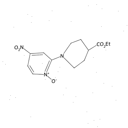 CCOC(=O)C1CCN(c2cc([N+](=O)[O-])cc[n+]2[O-])CC1